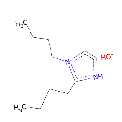 CCCCc1[nH]cc[n+]1CCCC.[OH-]